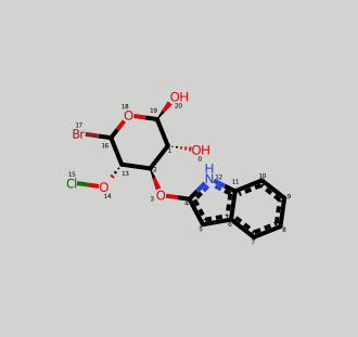 O[C@@H]1[C@@H](Oc2cc3ccccc3[nH]2)[C@H](OCl)C(Br)O[C@H]1O